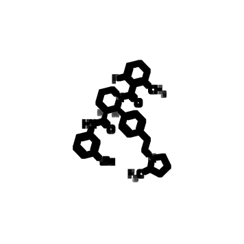 CC1=C(C(=O)N2CCC[C@H](C(=O)Nc3cccc(C(C)(C)C)c3)[C@@H]2c2ccc(CCN3CCCC3C(F)(F)F)cc2)C(F)=CCC1